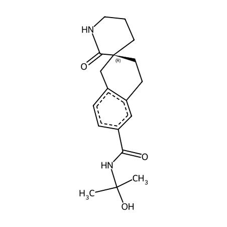 CC(C)(O)NC(=O)c1ccc2c(c1)CC[C@@]1(CCCNC1=O)C2